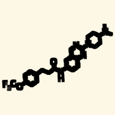 CN(C)C1CCN(c2ncc3cc(NC(=O)CCc4ccc(OC(F)(F)F)cc4)ccc3n2)CC1